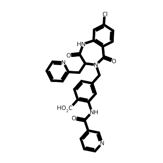 O=C(Nc1cc(CN2C(=O)c3ccc(Cl)cc3NC(=O)C2Cc2ccccn2)ccc1C(=O)O)c1cccnc1